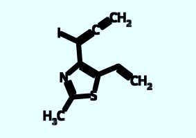 C=C=C(I)c1nc(C)sc1C=C